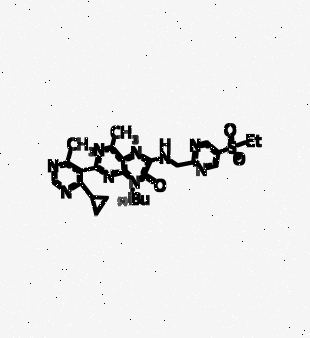 CC[C@H](C)n1c(=O)c(NCc2ncc(S(=O)(=O)CC)cn2)nc2c(C)nc(-c3c(C)ncnc3C3CC3)nc21